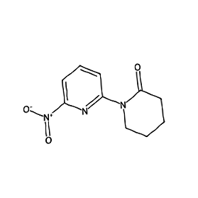 O=C1CCCCN1c1cccc([N+](=O)[O-])n1